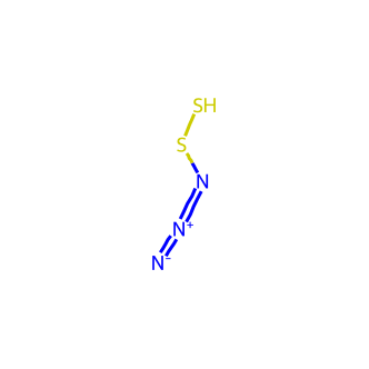 [N-]=[N+]=NSS